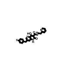 O=C(NCCc1ccccn1)c1c(O)c2ncc(Cc3ccc(F)cc3)cc2[nH]c1=O